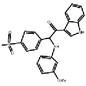 COc1cccc(NC(C(=O)c2c[nH]c3ccccc23)c2ccc(S(C)(=O)=O)cc2)c1